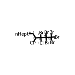 CCCCCCCCC(Cl)C(Cl)(Br)C(Br)(Br)C(Br)(Br)Br